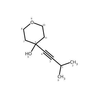 CC(C)C#CC1(O)CCOCC1